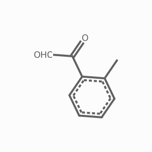 Cc1ccccc1C(=O)C=O